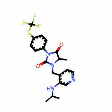 CC(C)Nc1cnccc1CN1C(=O)N(c2ccc(SC(F)(F)F)cc2)C(=O)C1C